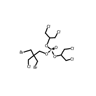 O=P(OCC(CCl)(CBr)CBr)(OC(CCl)CCl)OC(CCl)CCl